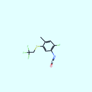 Cc1cc(F)c(N=C=O)cc1SCC(F)(F)F